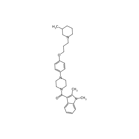 Cc1c(C(=O)N2CCN(c3ccc(OCCCN4CCCC(C)C4)cc3)CC2)c2ccccc2n1C